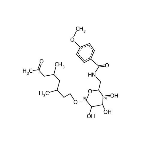 COc1ccc(C(=O)NCC2O[C@@H](OCCC(C)CC(C)CC(C)=O)C(O)C(O)[C@@H]2O)cc1